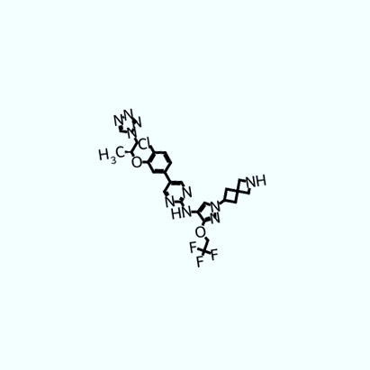 C[C@@H](Cn1cnnn1)Oc1cc(-c2cnc(Nc3cn(C4CC5(CNC5)C4)nc3OCC(F)(F)F)nc2)ccc1Cl